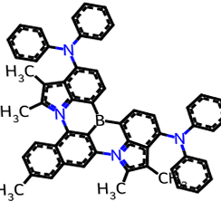 Cc1ccc2c3c4c(cc2c1)-n1c(C)c(C)c2c(N(c5ccccc5)c5ccccc5)ccc(c21)B4c1ccc(N(c2ccccc2)c2ccccc2)c2c(C)c(C)n-3c12